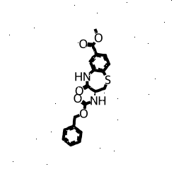 COC(=O)c1ccc2c(c1)NC(=O)[C@@H](NC(=O)OCc1ccccc1)CS2